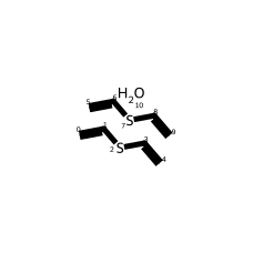 C=CSC=C.C=CSC=C.O